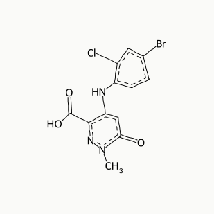 Cn1nc(C(=O)O)c(Nc2ccc(Br)cc2Cl)cc1=O